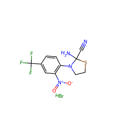 Br.N#CC1(N)SCCN1c1ccc(C(F)(F)F)cc1[N+](=O)[O-]